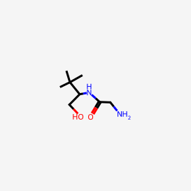 CC(C)(C)C(CO)NC(=O)CN